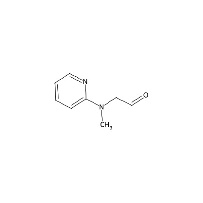 CN(CC=O)c1ccccn1